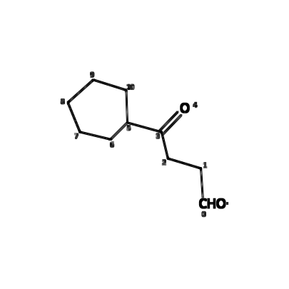 O=[C]CCC(=O)C1CCCCC1